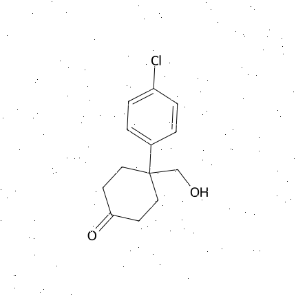 O=C1CCC(CO)(c2ccc(Cl)cc2)CC1